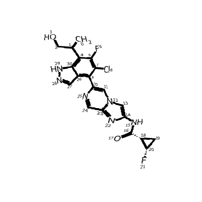 CC(CO)c1c(F)c(Cl)c(-c2cn3cc(NC(=O)[C@@H]4C[C@@H]4F)nc3cn2)c2cn[nH]c12